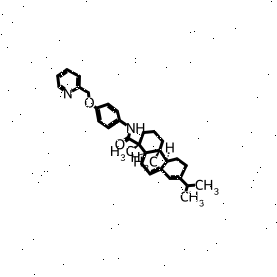 CC(C)C1=CC2=CC[C@@H]3[C@](C)(CCC[C@@]3(C)C(=O)Nc3ccc(OCc4ccccn4)cc3)[C@H]2CC1